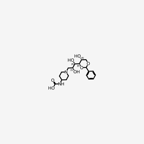 O=C(O)NC1CCN(C[C@H](O)[C@@H](O)[C@@H]2OC(c3ccccc3)OC[C@H]2O)CC1